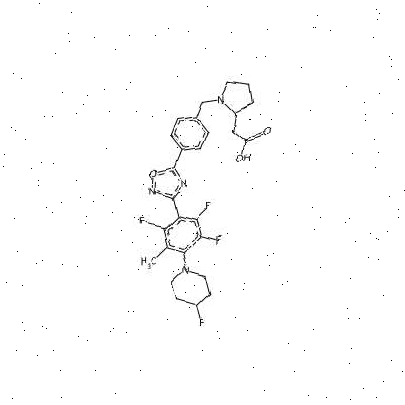 Cc1c(F)c(-c2noc(-c3ccc(CN4CCCC4CC(=O)O)cc3)n2)c(F)c(F)c1N1CCC(F)CC1